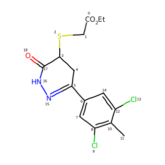 CCOC(=O)CSC1CC(c2cc(Cl)c(C)c(Cl)c2)=NNC1=O